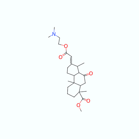 COC(=O)C1(C)CCCC2(C)C3CCC(=CC(=O)OCCN(C)C)C(C)C3C(=O)CC12